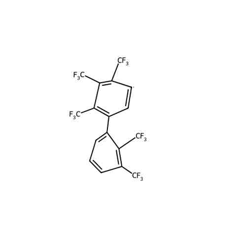 FC(F)(F)c1[c]cc(-c2cccc(C(F)(F)F)c2C(F)(F)F)c(C(F)(F)F)c1C(F)(F)F